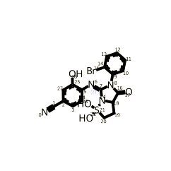 N#Cc1ccc(/N=C2/N(c3ccccc3Br)C(=O)C3CCS(O)(O)N23)c(O)c1